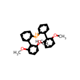 COc1cccc(C)c1-c1ccccc1Pc1ccccc1-c1c(OC)cccc1OC